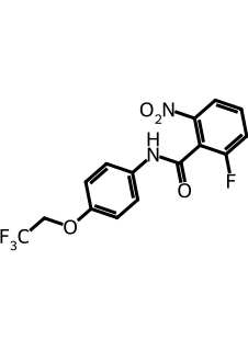 O=C(Nc1ccc(OCC(F)(F)F)cc1)c1c(F)cccc1[N+](=O)[O-]